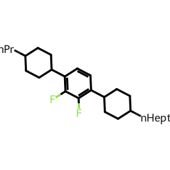 CCCCCCCC1CCC(c2ccc(C3CCC(CCC)CC3)c(F)c2F)CC1